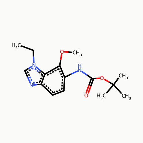 CCn1cnc2ccc(NC(=O)OC(C)(C)C)c(OC)c21